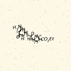 CCOC(=O)c1ccc(NC(=O)CSc2nc(N)cc(=O)[nH]2)nc1